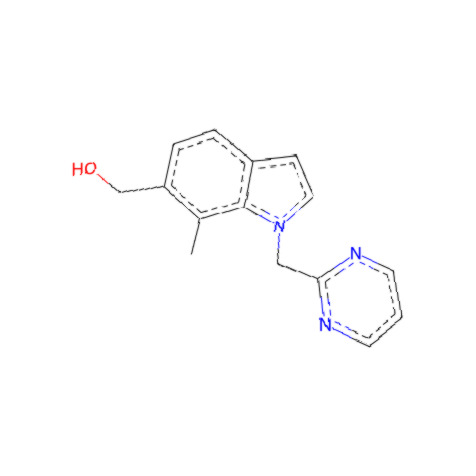 Cc1c(CO)ccc2ccn(Cc3ncccn3)c12